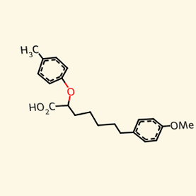 COc1ccc(CCCCCC(Oc2ccc(C)cc2)C(=O)O)cc1